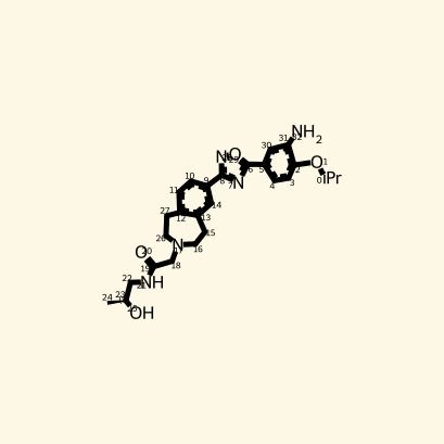 CC(C)Oc1ccc(-c2nc(-c3ccc4c(c3)CCN(CC(=O)NC[C@H](C)O)CC4)no2)cc1N